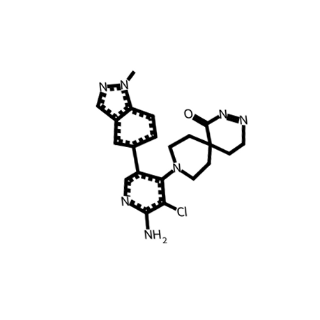 Cn1ncc2cc(-c3cnc(N)c(Cl)c3N3CCC4(CCN=NC4=O)CC3)ccc21